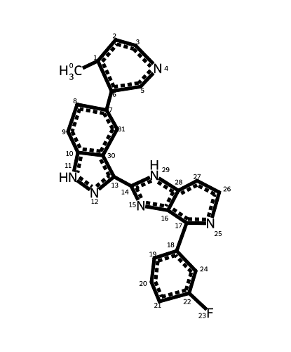 Cc1ccncc1-c1ccc2[nH]nc(-c3nc4c(-c5cccc(F)c5)nccc4[nH]3)c2c1